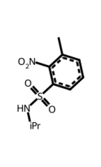 Cc1cccc(S(=O)(=O)NC(C)C)c1[N+](=O)[O-]